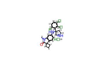 CN1C(=O)C2(CCC2)c2ccc(NC3(c4c(F)ccc(Cl)c4Cl)CCNC3)cc21.Cl